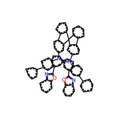 c1ccc(-c2ccc(N(c3cccc(-c4nc5ccccc5o4)c3)c3ccc4c(c3)C3(c5ccccc5-4)c4ccccc4-c4ccc(N(c5ccc(-c6ccccc6)cc5)c5cccc(-c6nc7ccccc7o6)c5)cc43)cc2)cc1